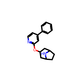 c1ccc(-c2ccnc(OC3CC4CCC(C3)N4)c2)cc1